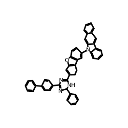 C1=C(C2=NC(c3ccc(-c4ccccc4)cc3)=NC(c3ccccc3)N2)CCc2c1oc1ccc(-n3c4ccccc4c4cc5ccccc5cc43)cc21